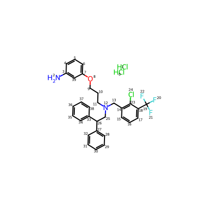 Cl.Cl.Nc1cccc(OCCCN(Cc2cccc(C(F)(F)F)c2Cl)CC(c2ccccc2)c2ccccc2)c1